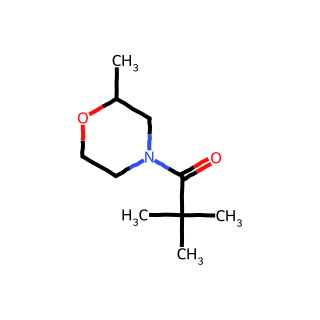 CC1CN(C(=O)C(C)(C)C)CCO1